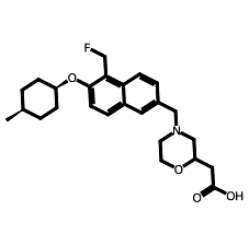 C[C@H]1CC[C@@H](Oc2ccc3cc(CN4CCOC(CC(=O)O)C4)ccc3c2CF)CC1